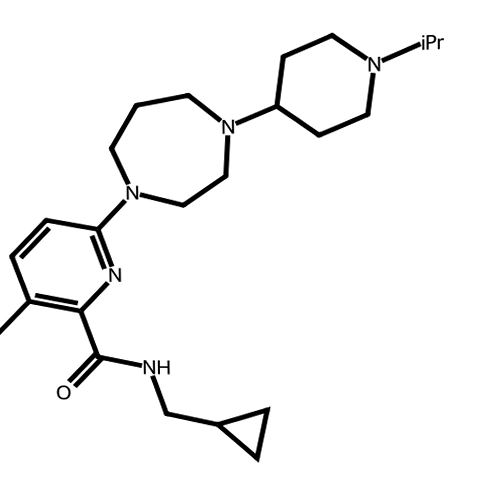 Cc1ccc(N2CCCN(C3CCN(C(C)C)CC3)CC2)nc1C(=O)NCC1CC1